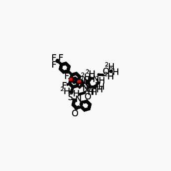 [2H]C([2H])([2H])OCCN1C([2H])([2H])C([2H])([2H])C([2H])(N(C(=O)Cn2c(SC([2H])([2H])c3cccc(F)c3F)cc(=O)c3ccccc32)C([2H])(C)c2ccc(-c3ccc(C(F)(F)F)cc3)cc2)C([2H])([2H])C1([2H])[2H]